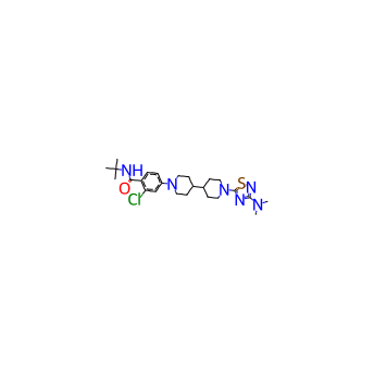 CN(C)c1nsc(N2CCC(C3CCN(c4ccc(C(=O)NC(C)(C)C)c(Cl)c4)CC3)CC2)n1